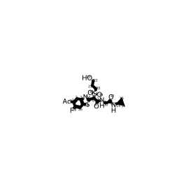 CC(=O)c1cc2nc(C(C(=O)NCC(=O)NC3CC3)S(=O)(=O)CCCO)sc2cc1F